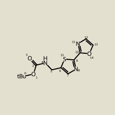 CC(C)(C)OC(=O)NCc1cnc(-c2ncco2)s1